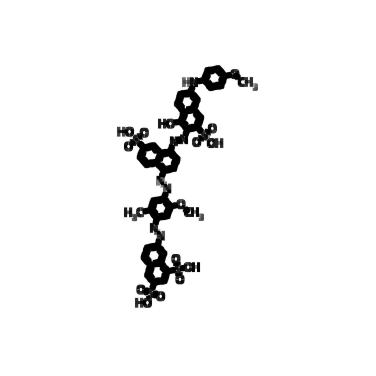 COc1ccc(Nc2ccc3c(O)c(N=Nc4ccc(N=Nc5cc(C)c(N=Nc6ccc7cc(S(=O)(=O)O)cc(S(=O)(=O)O)c7c6)cc5OC)c5ccc(S(=O)(=O)O)cc45)c(S(=O)(=O)O)cc3c2)cc1